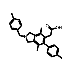 Cc1ccc(CN2Cc3c(C)c(CC(=O)O)c(-c4ccc(C)cc4)c(C)c3C2)cc1